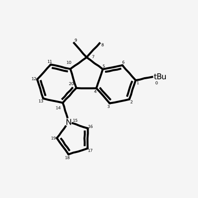 CC(C)(C)c1ccc2c(c1)C(C)(C)c1cccc(-n3cccc3)c1-2